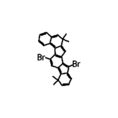 CC1(C)C=c2ccccc2=C2C1=Cc1c2c(Br)cc2c1=C(Br)C1=CC=CC(C)(C)C=21